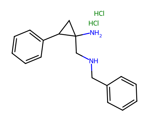 Cl.Cl.NC1(CNCc2ccccc2)CC1c1ccccc1